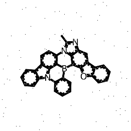 Cc1nc2cc3c(oc4ccccc43)c3c2n1-c1ccc2c4ccccc4n4c2c1B3c1ccccc1-4